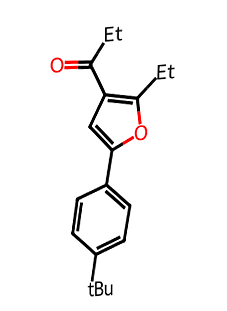 CCC(=O)c1cc(-c2ccc(C(C)(C)C)cc2)oc1CC